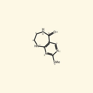 CSc1ncc2c(n1)NCCNC2=O